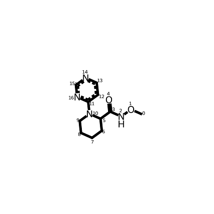 CONC(=O)C1CCCCN1c1ccn[c]n1